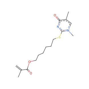 C=C(C)C(=O)OCCCCCCSc1nc(=O)c(C)cn1C